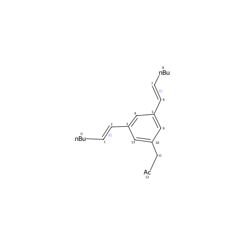 CCCC/C=C/c1cc(/C=C/CCCC)cc(CC(C)=O)c1